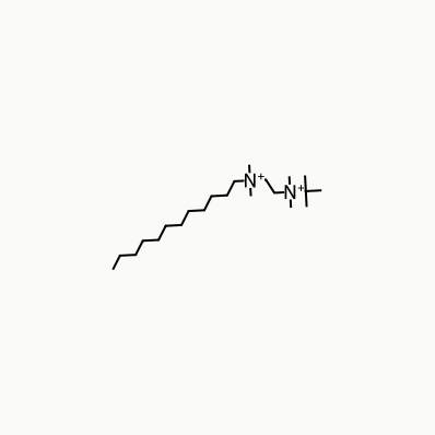 CCCCCCCCCCCC[N+](C)(C)CC[N+](C)(C)C(C)(C)C